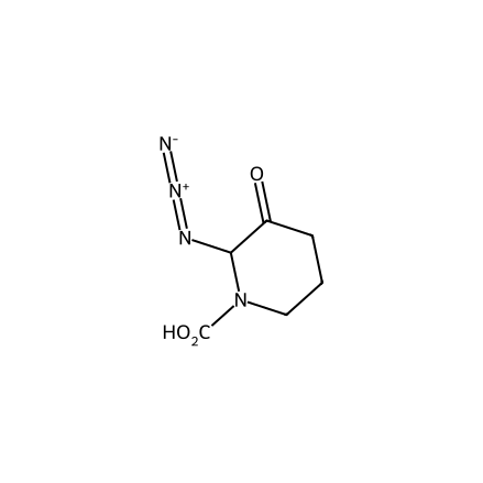 [N-]=[N+]=NC1C(=O)CCCN1C(=O)O